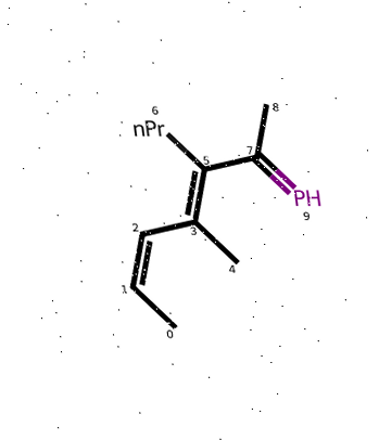 C/C=C\C(C)=C(/CCC)C(C)=P